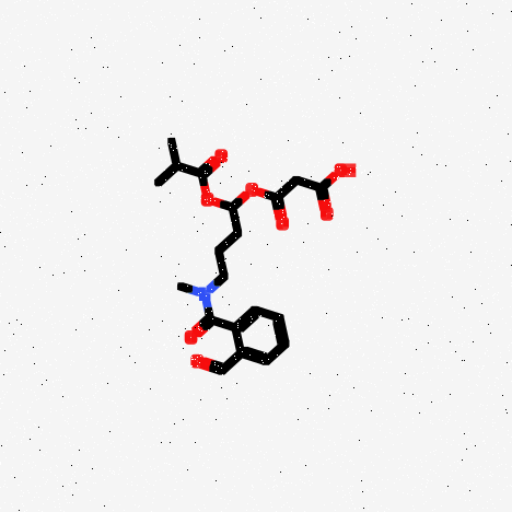 CC(C)C(=O)OC(CCCN(C)C(=O)c1ccccc1C=O)OC(=O)CC(=O)O